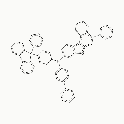 C1=CC(N(c2ccc(-c3ccccc3)cc2)c2ccc3c(c2)oc2cc(-c4ccccc4)c4ccccc4c23)CC=C1C1(c2ccccc2)c2ccccc2-c2ccccc21